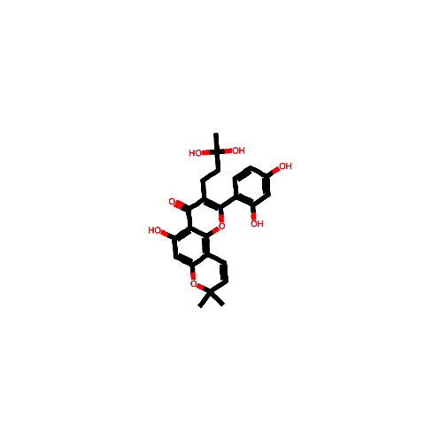 CC(O)(O)CCc1c(-c2ccc(O)cc2O)oc2c3c(cc(O)c2c1=O)OC(C)(C)C=C3